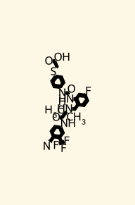 CC(C)(NCc1ccc(F)cc1NC(=O)Nc1ccc(SCC(=O)O)cc1)C(=O)Nc1ccc(C#N)c(C(F)(F)F)c1